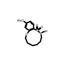 COc1ccc2c(c1)OCCCCCCN(C(C)C)S2(=O)=O